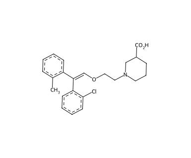 Cc1ccccc1C(=COCCN1CCCC(C(=O)O)C1)c1ccccc1Cl